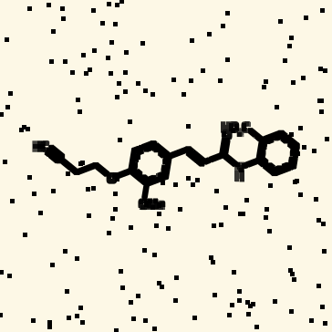 C#CCCOc1ccc(C=CC(=O)Nc2ccccc2C(=O)O)cc1OC